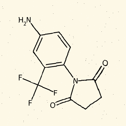 Nc1ccc(N2C(=O)CCC2=O)c(C(F)(F)F)c1